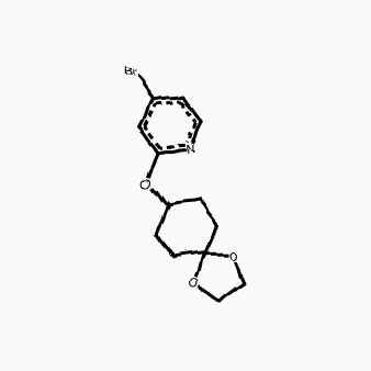 Brc1ccnc(OC2CCC3(CC2)OCCO3)c1